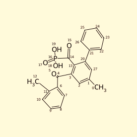 Cc1cc(C(=O)c2ccccc2C)c(C(=O)P(=O)(O)O)c(-c2ccccc2)c1